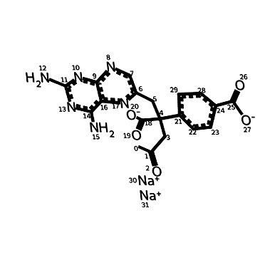 CC(=O)CC(Cc1cnc2nc(N)nc(N)c2n1)(C(=O)[O-])c1ccc(C(=O)[O-])cc1.[Na+].[Na+]